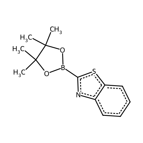 CC1(C)OB(c2nc3ccccc3s2)OC1(C)C